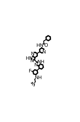 CN(C)CCNc1cc(F)cc(-c2cccc3[nH]c(-c4n[nH]c5ncc(-c6cncc(NC(=O)Cc7ccccc7)c6)cc45)nc23)c1